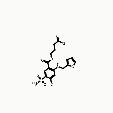 NS(=O)(=O)c1cc(C(=O)OCCCC(=O)Cl)c(NCc2ccco2)cc1Cl